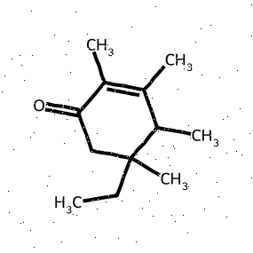 CCC1(C)CC(=O)C(C)=C(C)C1C